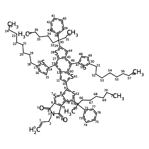 C=CCN1C(=O)c2sc3c(-c4cc5c(-c6ccc(CCCCCCCC)s6)c6sc(C(CC)(CCCCC)c7ccccc7)cc6c(-c6ccc(CCCCCCCC)s6)c5s4)sc(C(C)(CCCCCC)c4ccccc4)c3c2C1=O